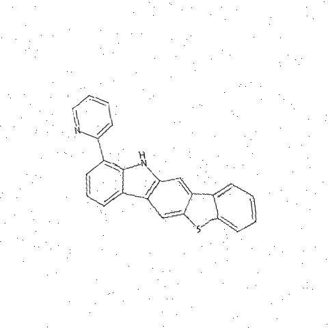 c1ccc(-c2cccc3c2[nH]c2cc4c(cc23)sc2ccccc24)nc1